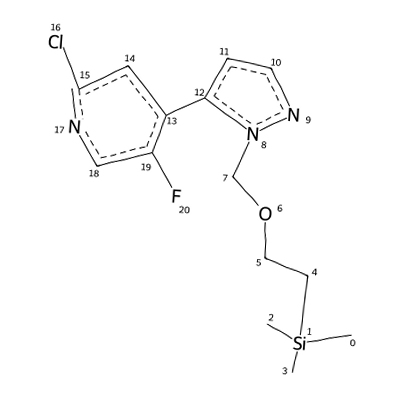 C[Si](C)(C)CCOCn1nccc1-c1cc(Cl)ncc1F